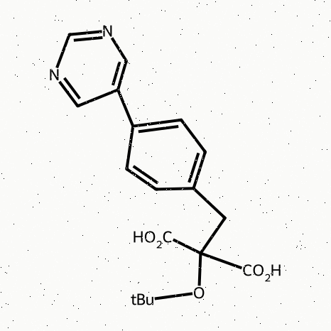 CC(C)(C)OC(Cc1ccc(-c2cncnc2)cc1)(C(=O)O)C(=O)O